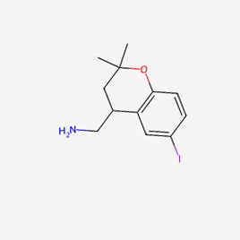 CC1(C)CC(CN)c2cc(I)ccc2O1